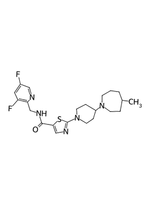 CC1CCCN(C2CCN(c3ncc(C(=O)NCc4ncc(F)cc4F)s3)CC2)CC1